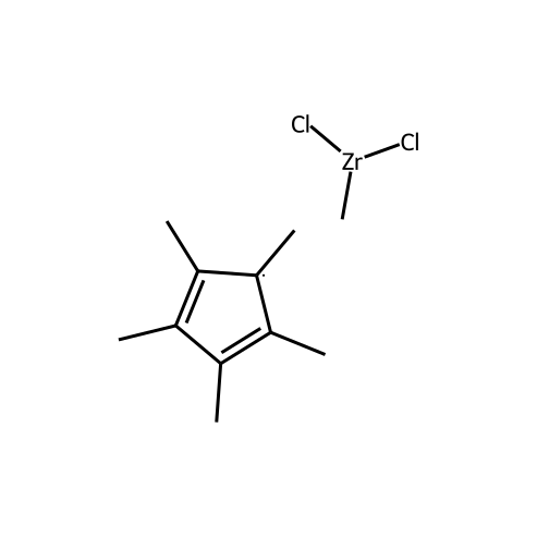 C[C]1C(C)=C(C)C(C)=C1C.[CH3][Zr]([Cl])[Cl]